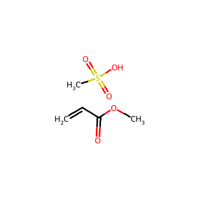 C=CC(=O)OC.CS(=O)(=O)O